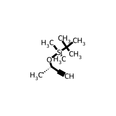 C#C[C@H](C)O[Si](C)(C)C(C)(C)C